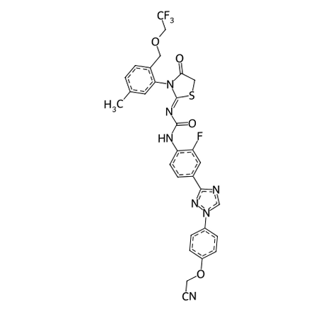 Cc1ccc(COCC(F)(F)F)c(N2C(=O)CSC2=NC(=O)Nc2ccc(-c3ncn(-c4ccc(OCC#N)cc4)n3)cc2F)c1